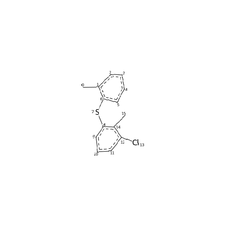 Cc1ccccc1Sc1cccc(Cl)c1C